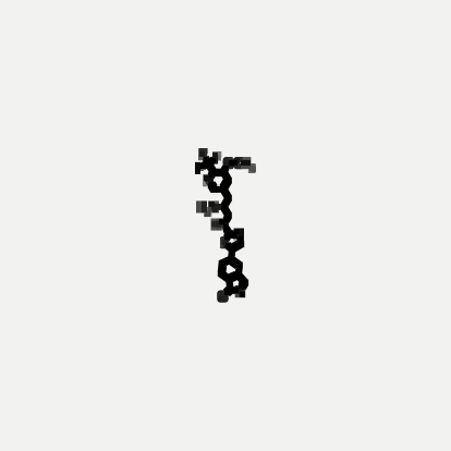 COc1cc(C[C@H](N)CNc2ncc(-c3ccc4c(c3)C=NC4=O)s2)cnc1C(F)(F)F